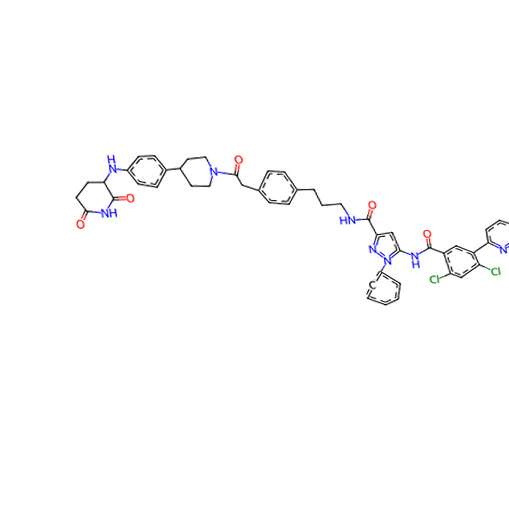 O=C1CCC(Nc2ccc(C3CCN(C(=O)Cc4ccc(CCCNC(=O)c5cc(NC(=O)c6cc(-c7ccccn7)c(Cl)cc6Cl)n(-c6ccccc6)n5)cc4)CC3)cc2)C(=O)N1